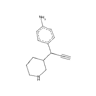 C#CC(c1ccc(N)cc1)C1CCCNC1